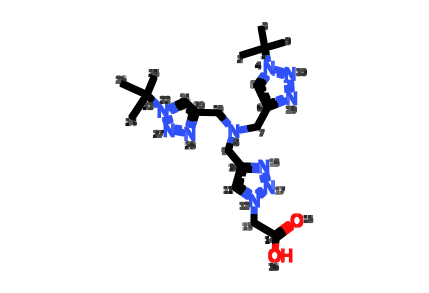 CC(C)(C)n1cc(CN(Cc2cn(CC(=O)O)nn2)Cc2cn(C(C)(C)C)nn2)nn1